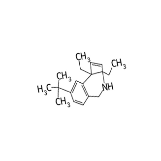 CCC12C=CC1(CC)c1cc(C(C)(C)C)ccc1CN2